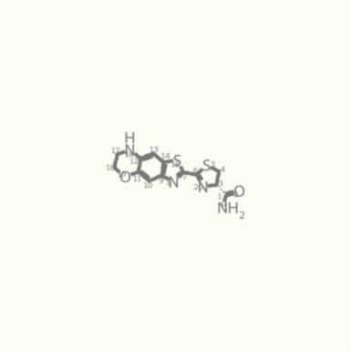 NC(=O)[C@H]1CSC(c2nc3cc4c(cc3s2)NCCO4)=N1